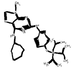 CC(C)[Si](Oc1ccc(Nc2nc(NC3CCCCC3)c3ncn(C)c3n2)cc1)(C(C)C)C(C)C